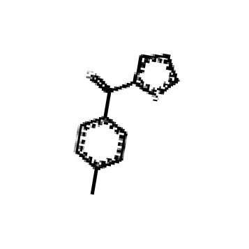 Cc1ccc(C(=S)c2cccs2)cc1